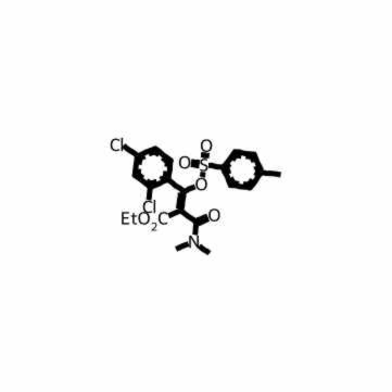 CCOC(=O)C(C(=O)N(C)C)=C(OS(=O)(=O)c1ccc(C)cc1)c1ccc(Cl)cc1Cl